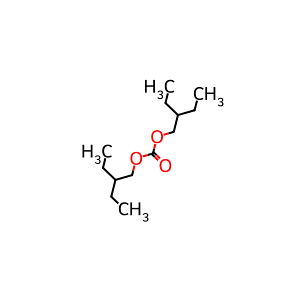 CCC(CC)COC(=O)OCC(CC)CC